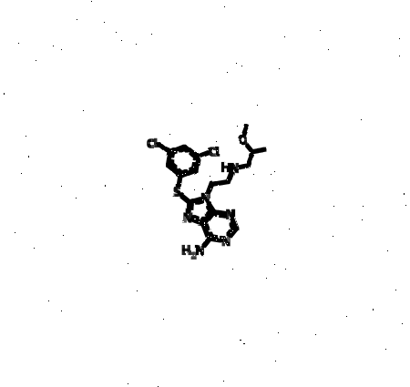 COC(C)CNCCn1c(Sc2cc(Cl)cc(Cl)c2)nc2c(N)ncnc21